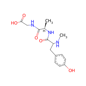 CNC(Cc1ccc(O)cc1)C(=O)N[C@H](C)C(=O)NCC(=O)O